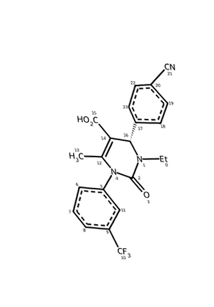 CCN1C(=O)N(c2cccc(C(F)(F)F)c2)C(C)=C(C(=O)O)[C@@H]1c1ccc(C#N)cc1